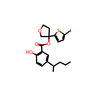 CCCC(C)c1ccc(O)c(C(=O)OC2(c3ccc(I)s3)CCOC2)c1